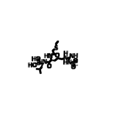 CCSCC(=O)N[C@@H](CCCNC(=N)N[N+](=O)[O-])C(=O)N[C@@H](CC(C)C)B(O)O